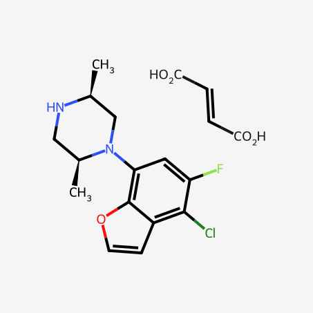 C[C@H]1CN(c2cc(F)c(Cl)c3ccoc23)[C@@H](C)CN1.O=C(O)C=CC(=O)O